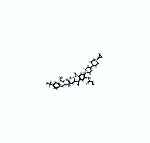 C=CC(=O)Nc1cc(N/C(N)=C/C(=N)N[C@H](CCO)Cc2ccc(C(F)(F)F)cc2)c(OC)cc1N1CCC(N2CCN(C3CC3)CC2)CC1